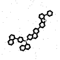 c1ccc(-c2cccc3c2oc2ccc(-c4ccc5c(ccc6cc(N(c7ccc(-c8cccc9ccccc89)cc7)c7cccc8ccccc78)ccc65)c4)cc23)cc1